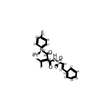 CC(C)=C(C(=O)NS(=O)(=O)/C=C/c1ccccc1)C(=O)N(c1ccc(F)cc1)C(C)C